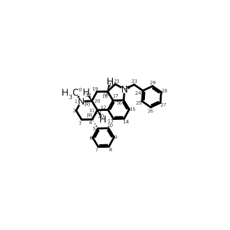 CN1CC[C@@H](c2ccccc2)[C@H]2c3cccc4c3[C@H](C[C@H]21)CN4Cc1ccccc1